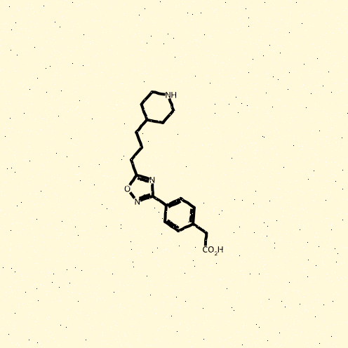 O=C(O)Cc1ccc(-c2noc(CCCC3CCNCC3)n2)cc1